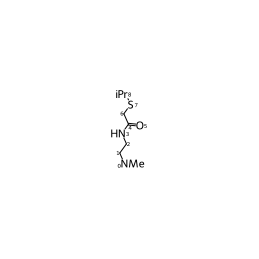 CNCCNC(=O)CSC(C)C